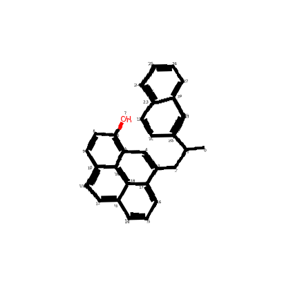 CC(Cc1cc2c(O)ccc3ccc4cccc1c4c32)c1ccc2ccccc2c1